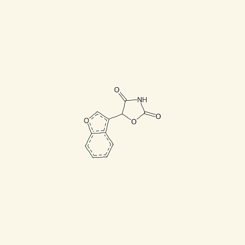 O=C1NC(=O)C(c2coc3ccccc23)O1